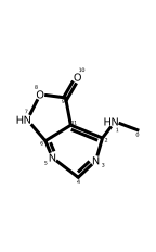 CNc1ncnc2[nH]oc(=O)c12